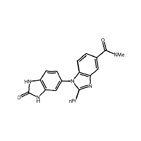 CCCc1nc2cc(C(=O)NC)ccc2n1-c1ccc2[nH]c(=O)[nH]c2c1